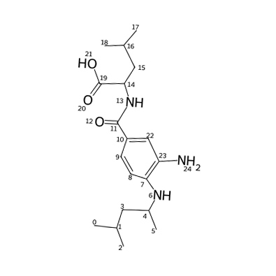 CC(C)CC(C)Nc1ccc(C(=O)NC(CC(C)C)C(=O)O)cc1N